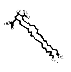 CCCCCCCCCCCCCCCCC(CC(C)C(CCCCCCCCCCCCCCCC)C(N)=O)C(=O)O